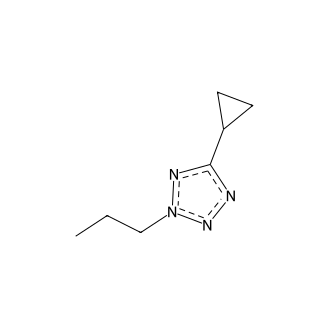 CCCn1nnc(C2CC2)n1